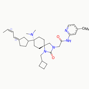 C/C=C\C=C1\CCC([C@]2(N(C)C)CC[C@@]3(CC2)CN(CC(=O)Nc2cc(OC)ccn2)C(=O)N3CC2CCC2)C1